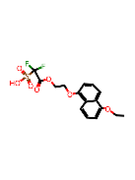 CCOc1cccc2c(OCCOC(=O)C(F)(F)S(=O)(=O)O)cccc12